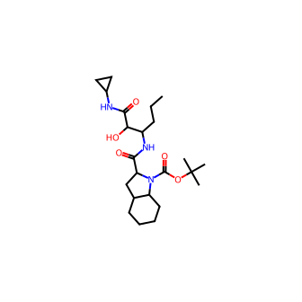 CCCC(NC(=O)C1CC2CCCCC2N1C(=O)OC(C)(C)C)C(O)C(=O)NC1CC1